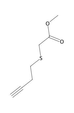 C#CCCSCC(=O)OC